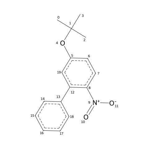 CC(C)(C)Oc1ccc([N+](=O)[O-])c(-c2ccccc2)c1